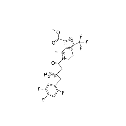 COC(=O)c1nc(C(F)(F)F)n2c1[C@@H](C)N(C(=O)C[C@H](N)Cc1cc(F)c(F)cc1F)CC2